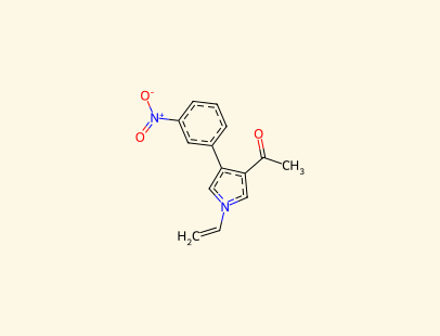 C=Cn1cc(C(C)=O)c(-c2cccc([N+](=O)[O-])c2)c1